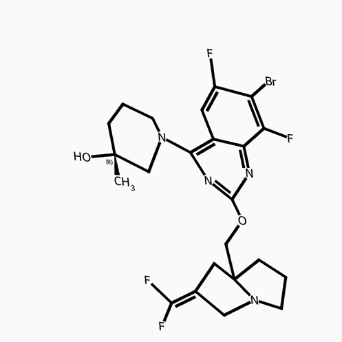 C[C@@]1(O)CCCN(c2nc(OCC34CCCN3CC(=C(F)F)C4)nc3c(F)c(Br)c(F)cc23)C1